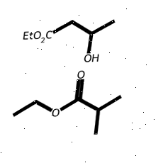 CCOC(=O)C(C)C.CCOC(=O)CC(C)O